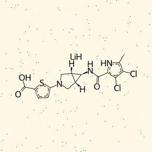 Cc1[nH]c(C(=O)N[C@H]2[C@@H]3CN(c4ccc(C(=O)O)s4)C[C@@H]32)c(Cl)c1Cl.[LiH]